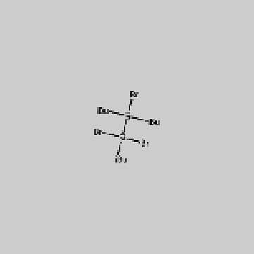 CCC(C)[Si](Br)(Br)[Si](Br)(C(C)CC)C(C)CC